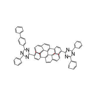 c1ccc(-c2ccc(-c3nc(-c4ccccc4)nc(-c4ccc(-c5ccc6ccccc6c5-c5c(-c6ccc(-c7nc(-c8ccccc8)nc(-c8ccccc8)n7)cc6)ccc6ccccc56)cc4)n3)cc2)cc1